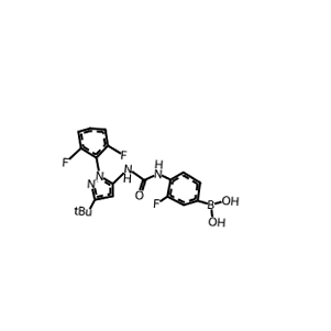 CC(C)(C)c1cc(NC(=O)Nc2ccc(B(O)O)cc2F)n(-c2c(F)cccc2F)n1